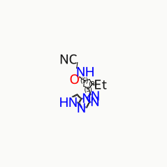 CC[C@@H]1C[C@H](C(=O)NCCC#N)C[C@@H]1c1nnc2cnc3[nH]ccc3n12